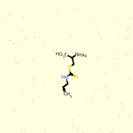 C=CCNC(=S)SCC(NC(C)=O)C(=O)O